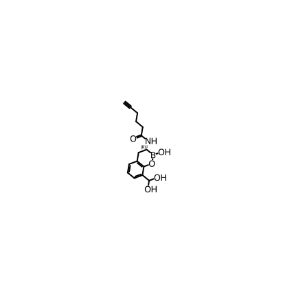 C#CCCCC(=O)N[C@H]1Cc2cccc(C(O)O)c2OB1O